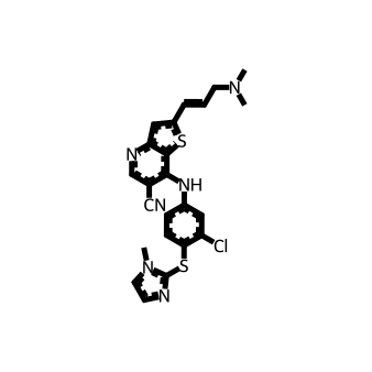 CN(C)C/C=C/c1cc2ncc(C#N)c(Nc3ccc(Sc4nccn4C)c(Cl)c3)c2s1